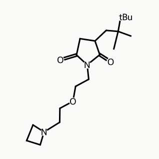 CC(C)(C)C(C)(C)CC1CC(=O)N(CCOCCN2CCC2)C1=O